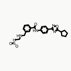 O=C(Nc1ccc(-c2noc(C3CCCC3)n2)cc1)c1cccc(CNCC[SH](=O)=O)c1